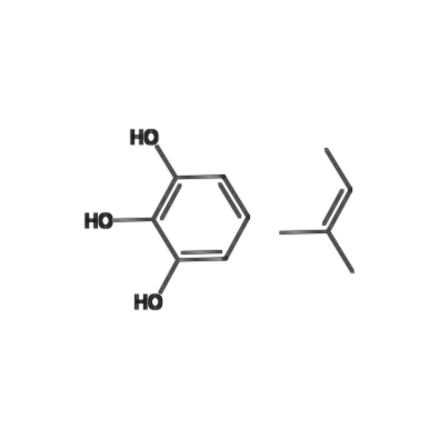 CC=C(C)C.Oc1cccc(O)c1O